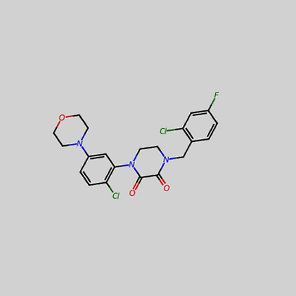 O=C1C(=O)N(c2cc(N3CCOCC3)ccc2Cl)CCN1Cc1ccc(F)cc1Cl